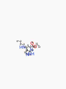 CCCCNc1cc(C(=O)OCC)nc2[nH]ncc12